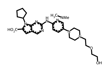 CNC.O=C(O)c1cc2cnc(Nc3ccc(N4CCN(CCOCCO)CC4)cn3)nc2n1C1CCCC1